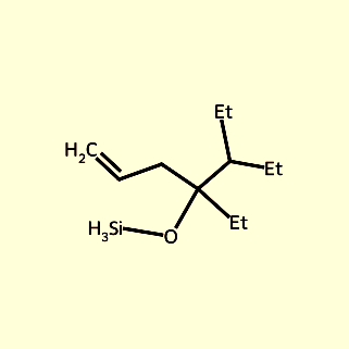 C=CCC(CC)(O[SiH3])C(CC)CC